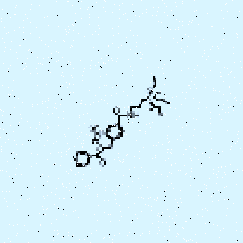 CCO[Si](CCCNC(=O)c1ccc(COC(=O)c2ccncc2)c([N+](=O)[O-])c1)(OCC)OCC